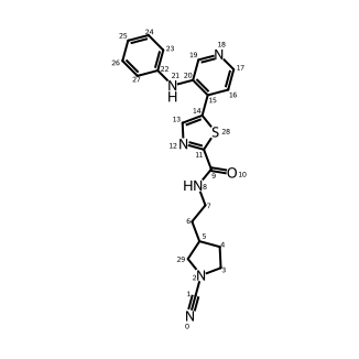 N#CN1CCC(CCNC(=O)c2ncc(-c3ccncc3Nc3ccccc3)s2)C1